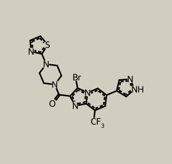 O=C(c1nc2c(C(F)(F)F)cc(-c3cn[nH]c3)cn2c1Br)N1CCN(c2nccs2)CC1